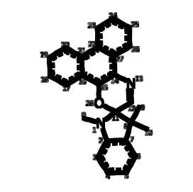 CN1c2ccccc2C(C)(C)C12C=Nc1c(c3ccccc3c3ccccc13)O2